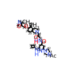 CC(=O)N1CCN(c2cc(C(=O)NC[C@H](O)CN3CCc4c(ccc(OCc5ocnc5C)c4C)C3)cc(NC3CCC3)n2)CC1